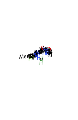 COc1ccc(-c2cnc3c(Nc4ccc(C(=O)N5CCN(C(=O)[C@H]6NC[C@H]7C[C@H]76)CC5)c(C)c4)nccn23)c(F)c1F.Cl